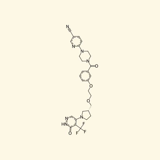 N#Cc1ccc(N2CCN(C(=O)c3cccc(OCCOC[C@@H]4CCN(c5cn[nH]c(=O)c5C(F)(F)F)C4)c3)CC2)nc1